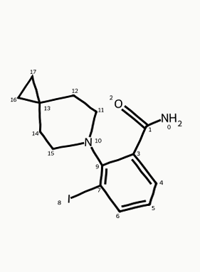 NC(=O)c1cccc(I)c1N1CCC2(CC1)CC2